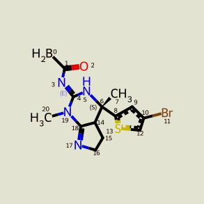 BC(=O)/N=C1\N[C@](C)(c2cc(Br)cs2)C2CCN=C2N1C